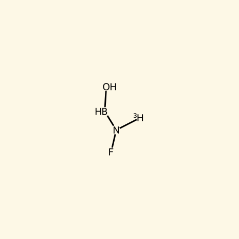 [3H]N(F)BO